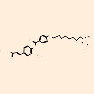 CCO[Si](CCCCCCCCOc1ccc(C(=O)Oc2ccc(C=CC(=O)OC)cc2OC)cc1)(OCC)OCC